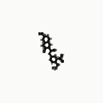 COc1ccc(CC(=O)c2cc3ccc(O)cc3sc2=O)cc1[N+](=O)[O-]